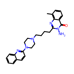 Cc1cccc2c(=O)n(N)c(CCCCN3CCN(c4ccc5ccccc5n4)CC3)nc12